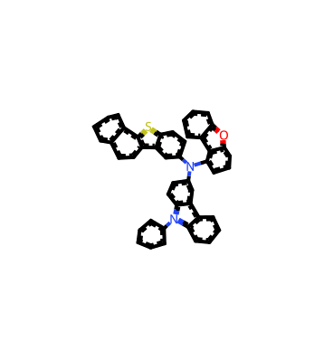 c1ccc(-n2c3ccccc3c3cc(N(c4ccc5sc6c7ccccc7ccc6c5c4)c4cccc5oc6ccccc6c45)ccc32)cc1